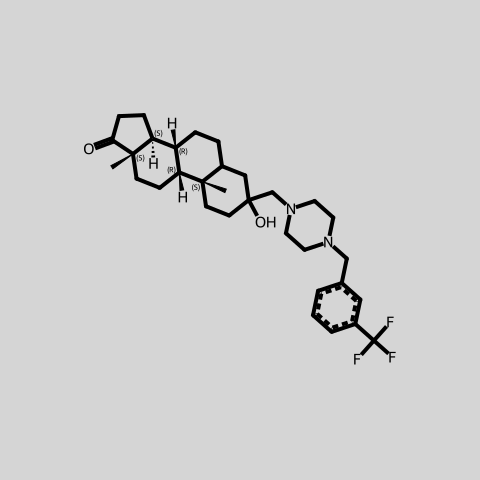 C[C@]12CCC(O)(CN3CCN(Cc4cccc(C(F)(F)F)c4)CC3)CC1CC[C@@H]1[C@H]2CC[C@]2(C)C(=O)CC[C@@H]12